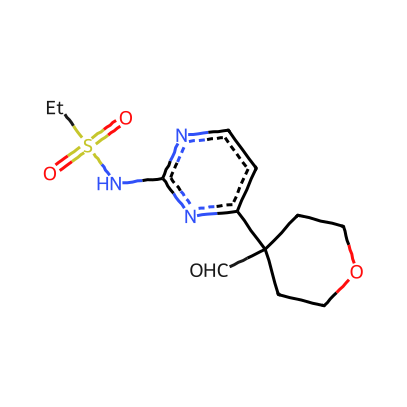 CCS(=O)(=O)Nc1nccc(C2(C=O)CCOCC2)n1